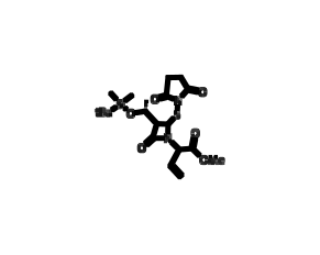 C=CC(C(=O)OC)N1C(=O)C([C@@H](C)O[Si](C)(C)C(C)(C)C)C1SN1C(=O)CCC1=O